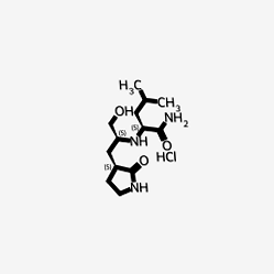 CC(C)C[C@H](N[C@H](CO)C[C@@H]1CCNC1=O)C(N)=O.Cl